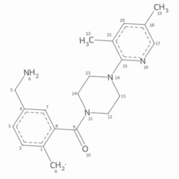 [CH2]c1ccc(CN)cc1C(=O)N1CCN(c2ncc(C)cc2C)CC1